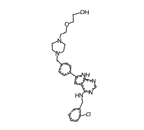 OCCOCCN1CCN(Cc2ccc(-c3cc4c(NCc5ccccc5Cl)ncnc4[nH]3)cc2)CC1